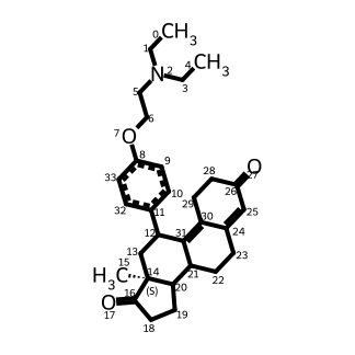 CCN(CC)CCOc1ccc(C2C[C@]3(C)C(=O)CCC3C3CCC4=CC(=O)CCC4=C23)cc1